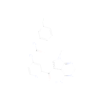 CC(C)n1cc(C(=O)c2cc(NC(=O)Nc3cccc(Cl)c3)ccn2)c2c(N)ncnc21